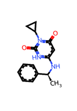 C[C@H](Nc1cc(=O)n(C2CC2)c(=O)[nH]1)c1ccccc1